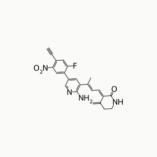 C#Cc1cc(F)c(-c2cnc(N)c(/C(C)=C/C=C3\C(=C)CCNC3=O)c2)cc1[N+](=O)[O-]